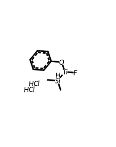 C[SiH](C)[Ti]([F])[O]c1ccccc1.Cl.Cl